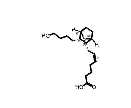 O=C(O)CCC/C=C\C[C@@H]1[C@H](CCCCO)[C@@H]2CC[C@H]1S2